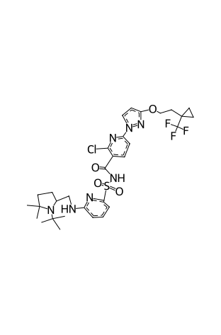 CC(C)(C)N1C(CNc2cccc(S(=O)(=O)NC(=O)c3ccc(-n4ccc(OCCC5(C(F)(F)F)CC5)n4)nc3Cl)n2)CCC1(C)C